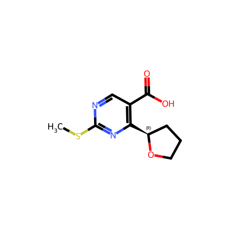 CSc1ncc(C(=O)O)c([C@H]2CCCO2)n1